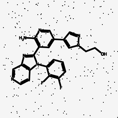 Nc1ncc(-c2cnn(CCO)c2)cc1-c1nc2cnccc2n1-c1cccc(F)c1F